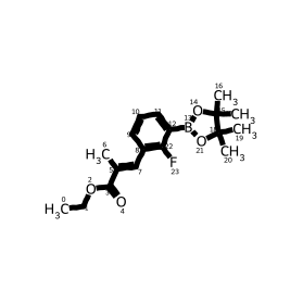 CCOC(=O)/C(C)=C/c1cccc(B2OC(C)(C)C(C)(C)O2)c1F